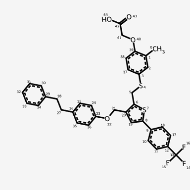 Cc1cc(SCc2sc(-c3ccc(C(F)(F)F)cc3)cc2COc2ccc(CCc3ccccc3)cc2)ccc1OCC(=O)O